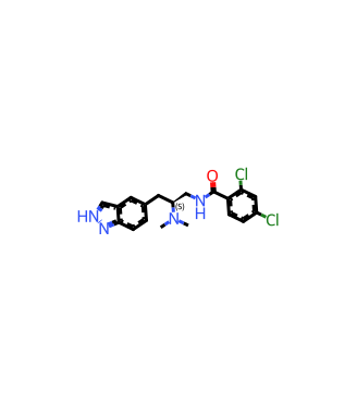 CN(C)[C@H](CNC(=O)c1ccc(Cl)cc1Cl)Cc1ccc2n[nH]cc2c1